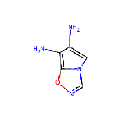 Nc1cn2cnoc2c1N